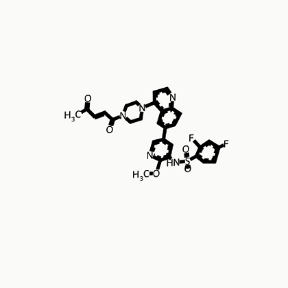 COc1ncc(-c2ccc3nccc(N4CCN(C(=O)C=CC(C)=O)CC4)c3c2)cc1NS(=O)(=O)c1ccc(F)cc1F